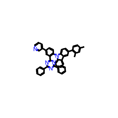 Cc1ccc(-c2ccc3c(c2)c2ccccc2n3-c2ccc(-c3cccnc3)cc2-c2nc(-c3ccccc3)nc(-c3ccccc3)n2)c(C)c1